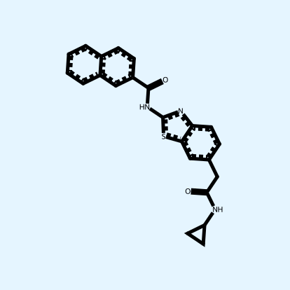 O=C(Cc1ccc2nc(NC(=O)c3ccc4ccccc4c3)sc2c1)NC1CC1